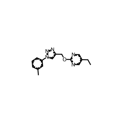 CCc1cnc(OCc2cn(-c3cccc(C)c3)nn2)nc1